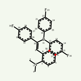 CN(C)c1ccccc1/C=C(\B(c1ccc(F)cc1)c1ccc(F)cc1)c1ccc(F)cc1